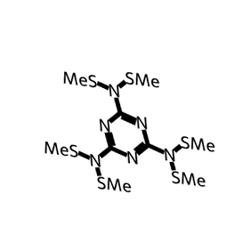 CSN(SC)c1nc(N(SC)SC)nc(N(SC)SC)n1